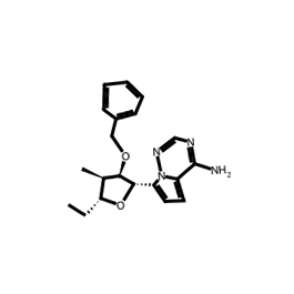 CC[C@H]1O[C@@H](c2ccc3c(N)ncnn23)[C@H](OCc2ccccc2)[C@@H]1C